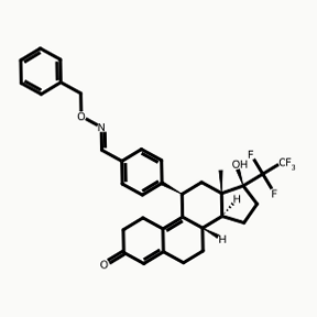 C[C@]12C[C@H](c3ccc(C=NOCc4ccccc4)cc3)C3=C4CCC(=O)C=C4CC[C@H]3[C@@H]1CC[C@@]2(O)C(F)(F)C(F)(F)F